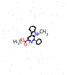 CCn1c2ccccc2c2cc(C(=O)OC)nc(-c3ccccc3)c21